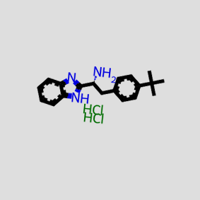 CC(C)(C)c1ccc(C[C@@H](N)c2nc3ccccc3[nH]2)cc1.Cl.Cl